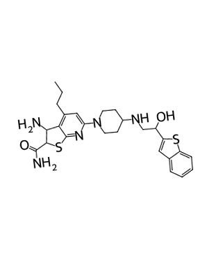 CCCc1cc(N2CCC(NCC(O)c3cc4ccccc4s3)CC2)nc2c1C(N)C(C(N)=O)S2